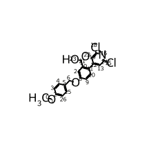 COc1ccc(COc2ccc(-c3cc(Cl)nc(Cl)c3)c(C(=O)O)c2)cc1